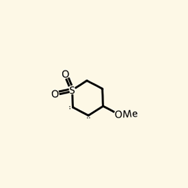 COC1[C][C]S(=O)(=O)CC1